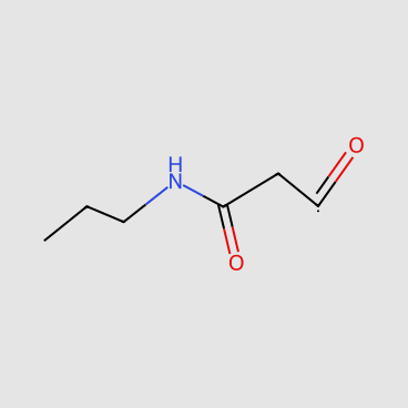 CCCNC(=O)C[C]=O